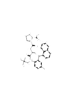 Cc1ccc2c(c1)C(c1cccc3ccccc13)OC(CC(=O)N1CCC[C@H]1C(=O)O)C(=O)N2CC(C)(C)C